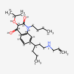 C=CCNCCC(CCC)c1ccc2c(c1)N(CCCC)C(=O)C(OC(C)C)C2=O